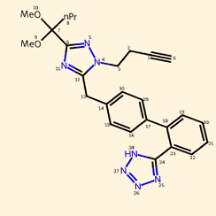 C#CCCn1nc(C(CCC)(OC)OC)nc1Cc1ccc(-c2ccccc2-c2nnn[nH]2)cc1